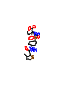 Cc1ccsc1C(=O)Nc1ccc(S(=O)(=O)N[C@H]2CCOC2=O)cc1